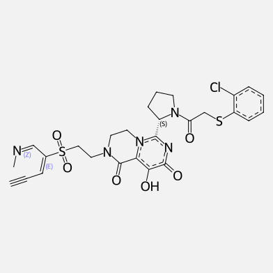 C#C/C=C(\C=N/C)S(=O)(=O)CCN1CCn2c([C@@H]3CCCN3C(=O)CSc3ccccc3Cl)nc(=O)c(O)c2C1=O